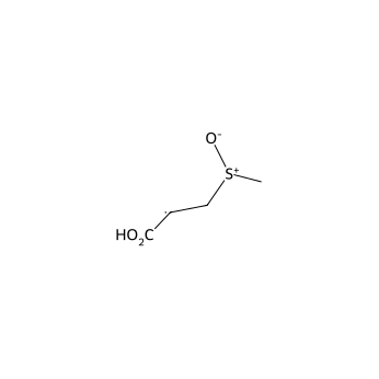 C[S+]([O-])C[CH]C(=O)O